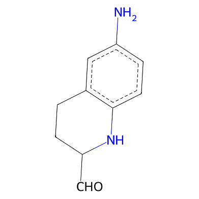 Nc1ccc2c(c1)CCC(C=O)N2